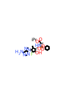 C=C1[C@@H](n2cnc3c(N)ncnc32)[C@@H](F)[C@H](O)[C@H]1CO[P@@](=O)(N[C@H](C)C(=O)OC(C)C)Oc1ccccc1